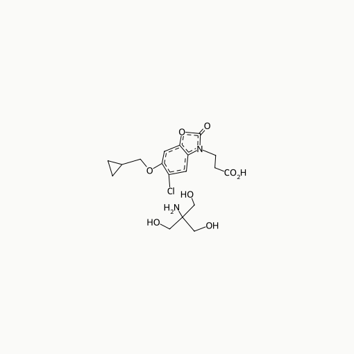 NC(CO)(CO)CO.O=C(O)CCn1c(=O)oc2cc(OCC3CC3)c(Cl)cc21